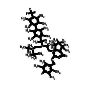 Bc1c(B)c(CSc2nc(=O)c3c(n2CC(=O)N(CCN(C(B)(B)C)C(B)(B)C)C(B)(B)c2c(B)c(B)c(-c4c(B)c(B)c(C(F)(F)F)c(B)c4B)c(B)c2B)C(B)(B)C(B)(B)C3(B)B)c(B)c(B)c1F